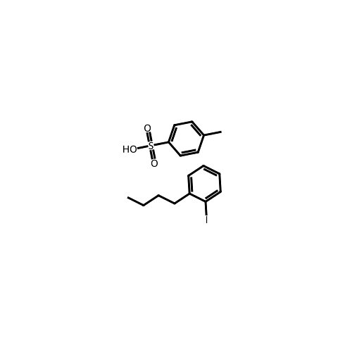 CCCCc1ccccc1I.Cc1ccc(S(=O)(=O)O)cc1